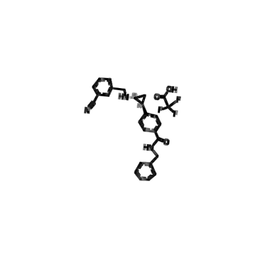 N#Cc1cccc(CN[C@@H]2C[C@H]2c2ccc(C(=O)NCc3ccccc3)cc2)c1.O=C(O)C(F)(F)F